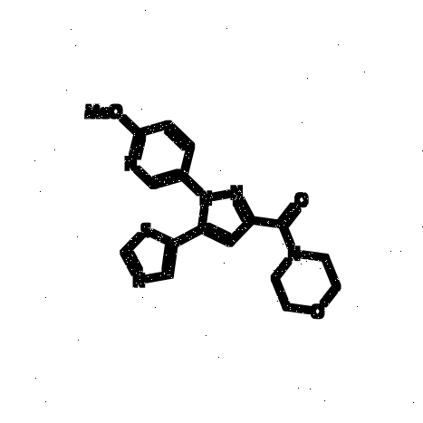 COc1ccc(-n2nc(C(=O)N3CCOCC3)cc2-c2cncs2)cn1